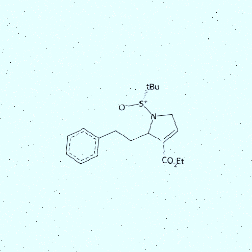 CCOC(=O)C1=CCN([S@+]([O-])C(C)(C)C)C1CCc1ccccc1